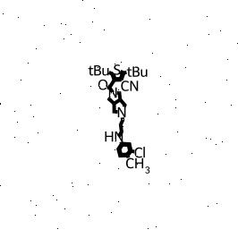 Cc1ccc(NCCCN2CC3CN(C(=O)c4c(C(C)(C)C)sc(C(C)(C)C)c4C#N)CC3C2)cc1Cl